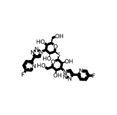 OCC1O[C@@H](S[C@@H]2O[C@H](CO)C(O)C(n3cc(-c4ccc(F)cn4)nn3)[C@H]2O)[C@@H](O)C(n2cc(-c3ccc(F)cn3)nn2)[C@H]1O